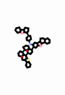 c1ccc(-c2ccc(N(c3ccc(-c4cccc5c4oc4ccccc45)cc3)c3cc4c(cc3-c3ccc(-c5cccc6c5sc5ccccc56)cc3)oc3c5ccccc5ccc43)cc2)cc1